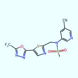 CS(=O)(=O)N(Cc1ncc(-c2nnc(C(F)(F)F)o2)s1)c1cncc(C#N)c1